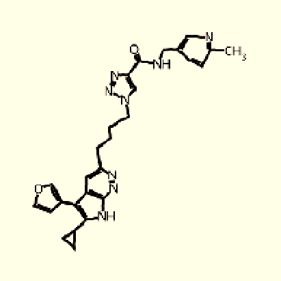 Cc1ccc(CNC(=O)c2cn(CCCCc3cc4c(-c5ccoc5)c(C5CC5)[nH]c4nn3)nn2)cn1